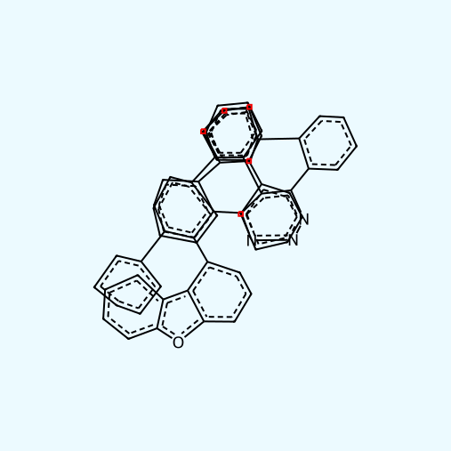 c1ccc(-c2ccccc2-c2ccc(-c3ccccc3)c(-c3cccc4oc5ccccc5c34)c2-c2nnnc(-c3ccccc3-c3ccccc3)c2-c2ccccc2-c2ccccc2)cc1